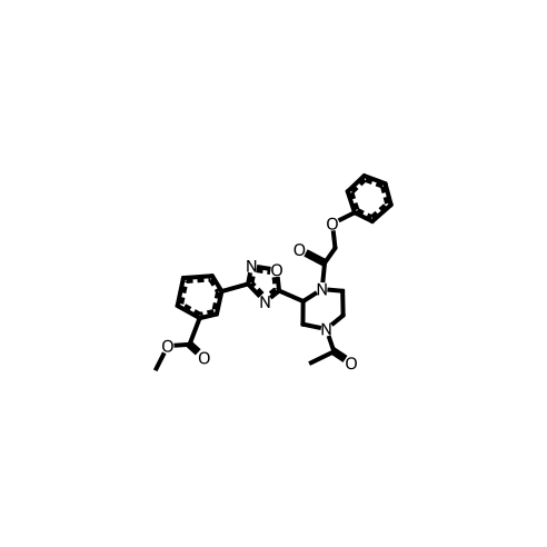 COC(=O)c1cccc(-c2noc(C3CN(C(C)=O)CCN3C(=O)COc3ccccc3)n2)c1